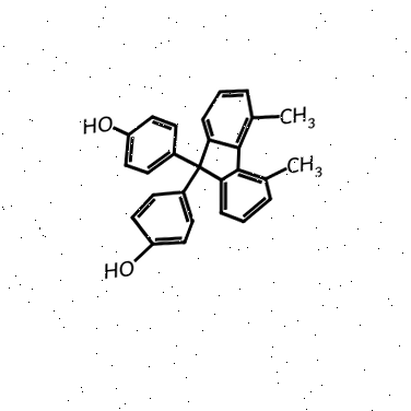 Cc1cccc2c1-c1c(C)cccc1C2(c1ccc(O)cc1)c1ccc(O)cc1